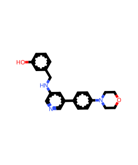 Oc1cccc(CNc2cncc(-c3ccc(N4CCOCC4)cc3)c2)c1